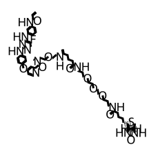 C=CC(=O)Nc1cccc(Nc2nc(Nc3ccc(Oc4ccnc(C(=O)N(C)CCOCCNC(=C)CCCC(=O)NCCCOCCOCCOCCCNC(=O)CCCC[C@@H]5SC[C@@H]6NC(=O)N[C@@H]65)c4)cc3)ncc2F)c1